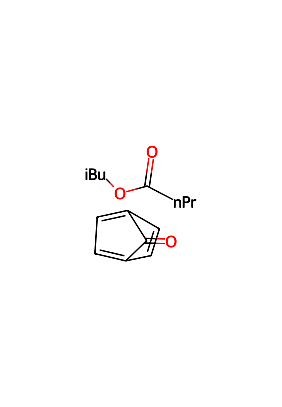 CCCC(=O)OC(C)CC.O=C1C2=CC=C1C=C2